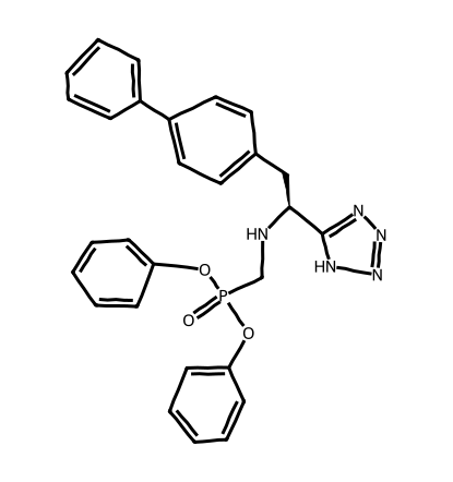 O=P(CN[C@@H](Cc1ccc(-c2ccccc2)cc1)c1nnn[nH]1)(Oc1ccccc1)Oc1ccccc1